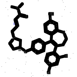 CN(C)C(=O)/C=C/CN1CC[C@H](Oc2ccc(C3=C(c4ccc(Cl)cc4Cl)CCSc4cc(O)ccc43)cc2)C1